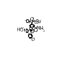 CN1C[C@@H](C(=O)N2C[C@@H](N(C(=O)C(C)(C)C)[C@H]3CC[C@@H](C)CC3)C[C@H]2C(N)=O)[C@H](c2ccc(Cl)cc2)C1.Cl